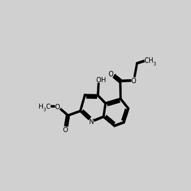 CCOC(=O)c1cccc2nc(C(=O)OC)cc(O)c12